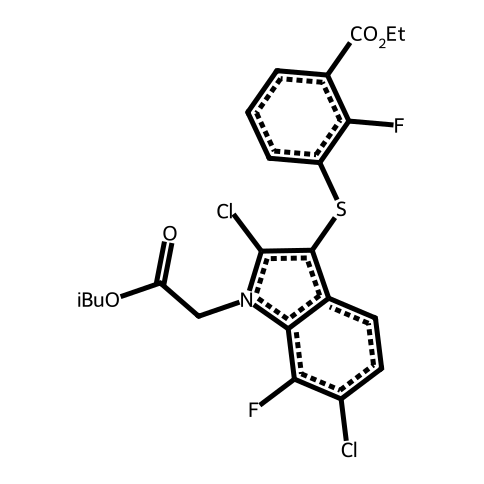 CCOC(=O)c1cccc(Sc2c(Cl)n(CC(=O)OCC(C)C)c3c(F)c(Cl)ccc23)c1F